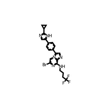 FC(F)(F)CCCNc1nc(Br)cn2c(-c3ccc(-c4cnc(C5CC5)[nH]4)cc3)cnc12